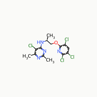 Cc1nc(C)c(Cl)c(N[C@@H](C)COc2nc(Cl)c(Cl)cc2Cl)n1